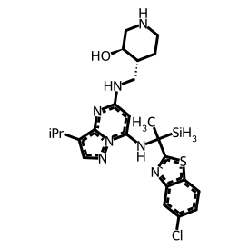 CC(C)c1cnn2c(NC(C)([SiH3])c3nc4cc(Cl)ccc4s3)cc(NC[C@H]3CCNC[C@@H]3O)nc12